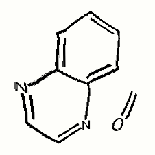 C=O.c1ccc2nccnc2c1